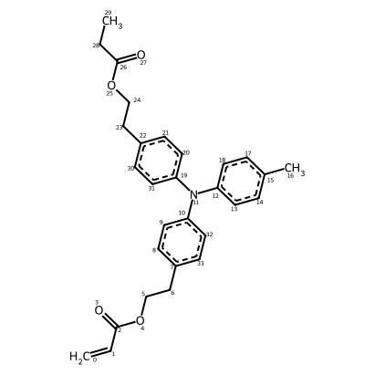 C=CC(=O)OCCc1ccc(N(c2ccc(C)cc2)c2ccc(CCOC(=O)CC)cc2)cc1